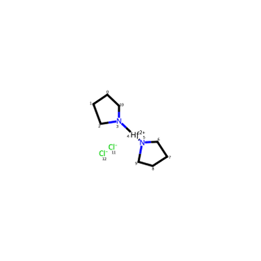 C1CC[N]([Hf+2][N]2CCCC2)C1.[Cl-].[Cl-]